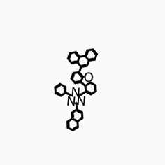 C1=CC2=CC(c3nc(C4=CC=CC5Oc6c(-c7cc8ccccc8c8ccccc78)cccc6C45)nc(-c4ccccc4)n3)=CCC2C=C1